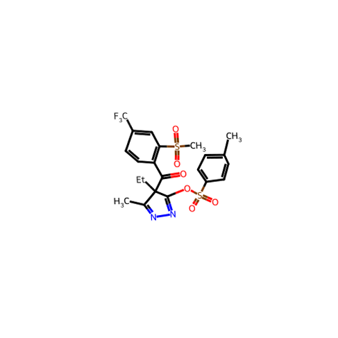 CCC1(C(=O)c2ccc(C(F)(F)F)cc2S(C)(=O)=O)C(C)=NN=C1OS(=O)(=O)c1ccc(C)cc1